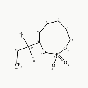 O=P1(O)OCCCCCC(C(F)(F)CC(F)(F)F)O1